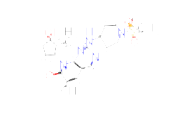 Cc1cc2cnc(NC3CCN(S(C)(=O)=O)CC3)nc2n([C@@H]2CC[C@@H](O)[C@H]2C)c1=O